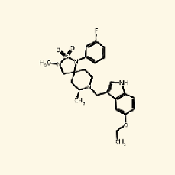 CCOc1ccc2[nH]cc(CN3CC[C@@]4(C[C@@H]3C)CN(C)S(=O)(=O)N4c3cccc(F)c3)c2c1